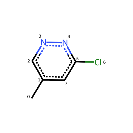 Cc1[c]nnc(Cl)c1